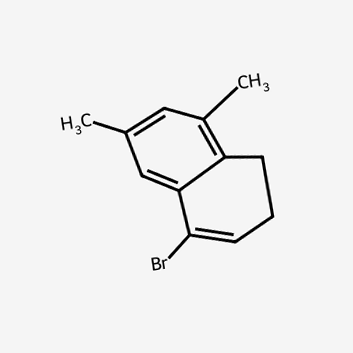 Cc1cc(C)c2c(c1)C(Br)=CCC2